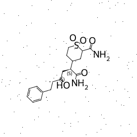 NC(=O)C1CC([C@H](C[C@@H](O)[CH]Cc2ccccc2)C(N)=O)CCS1(=O)=O